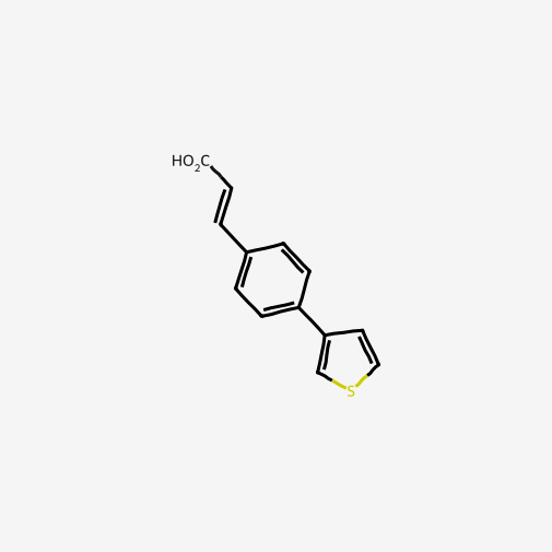 O=C(O)C=Cc1ccc(-c2ccsc2)cc1